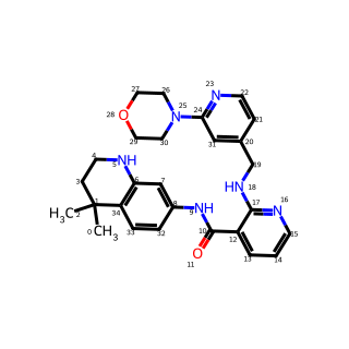 CC1(C)CCNc2cc(NC(=O)c3cccnc3NCc3ccnc(N4CCOCC4)c3)ccc21